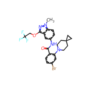 Cn1nc(OCC(F)(F)F)c2cc(NC(=O)c3ccc(Br)cc3N3CCC4(CC3)CC4)ccc21